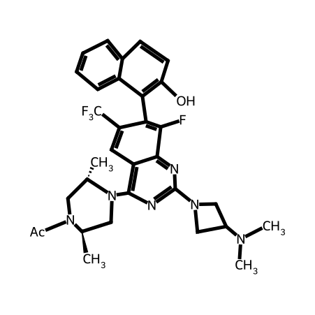 CC(=O)N1C[C@H](C)N(c2nc(N3CC(N(C)C)C3)nc3c(F)c(-c4c(O)ccc5ccccc45)c(C(F)(F)F)cc23)C[C@H]1C